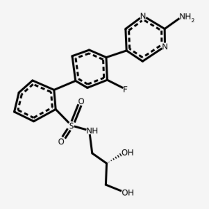 Nc1ncc(-c2ccc(-c3ccccc3S(=O)(=O)NC[C@H](O)CO)cc2F)cn1